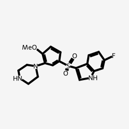 COc1ccc(S(=O)(=O)c2c[nH]c3cc(F)ccc23)cc1N1CCNCC1